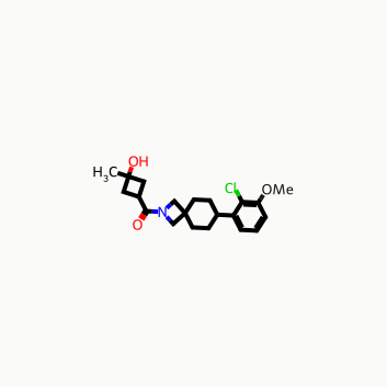 COc1cccc(C2CCC3(CC2)CN(C(=O)C2CC(C)(O)C2)C3)c1Cl